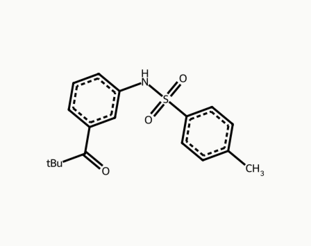 Cc1ccc(S(=O)(=O)Nc2cccc(C(=O)C(C)(C)C)c2)cc1